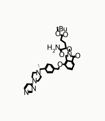 C[C@H](c1ccc(COc2cccc3c2CN(OC(CCC(=O)OC(C)(C)C)C(N)=O)C3=O)cc1)N1CCN(c2ccncn2)CC1